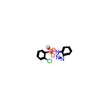 O=S(=O)(On1nnc2ccccc21)c1ccccc1Cl